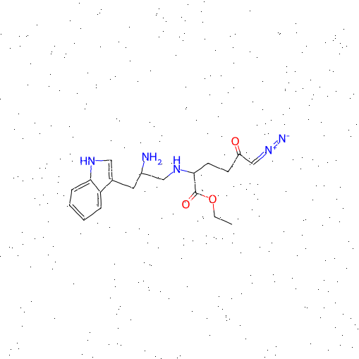 CCOC(=O)C(CCC(=O)C=[N+]=[N-])NCC(N)Cc1c[nH]c2ccccc12